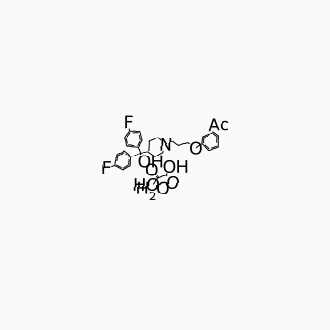 CC(=O)c1cccc(OCCCN2CCC(C(O)(c3ccc(F)cc3)c3ccc(F)cc3)CC2)c1.O.O=C(O)C(=O)O